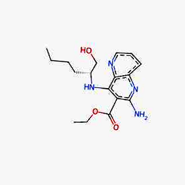 CCCC[C@H](CO)Nc1c(C(=O)OCC)c(N)nc2cccnc12